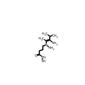 C/C(=C(/N)C(C)C)N(N)CCCC(=O)PS